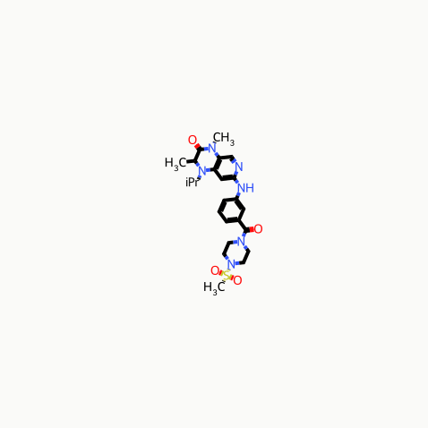 CC(C)N1c2cc(Nc3cccc(C(=O)N4CCN(S(C)(=O)=O)CC4)c3)ncc2N(C)C(=O)C1C